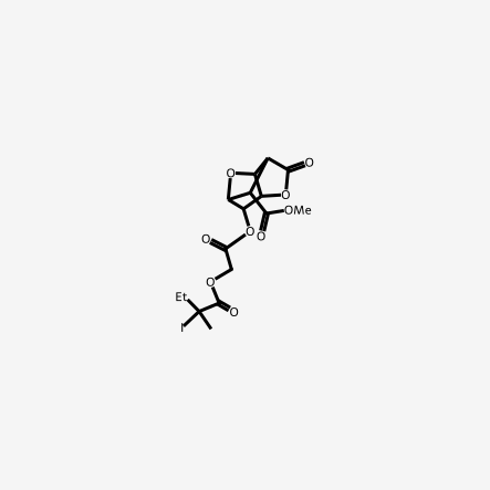 CCC(C)(I)C(=O)OCC(=O)OC1C2OC(=O)C3C2OC1C3C(=O)OC